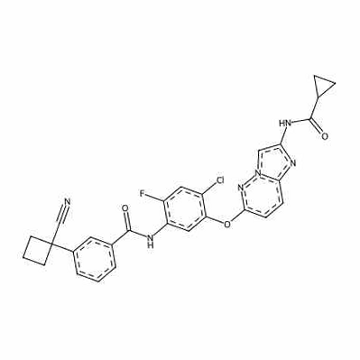 N#CC1(c2cccc(C(=O)Nc3cc(Oc4ccc5nc(NC(=O)C6CC6)cn5n4)c(Cl)cc3F)c2)CCC1